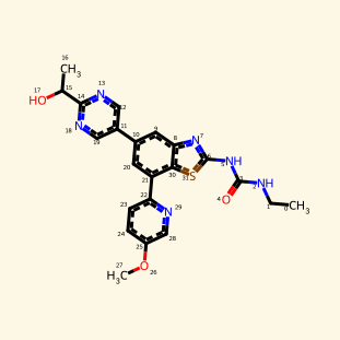 CCNC(=O)Nc1nc2cc(-c3cnc(C(C)O)nc3)cc(-c3ccc(OC)cn3)c2s1